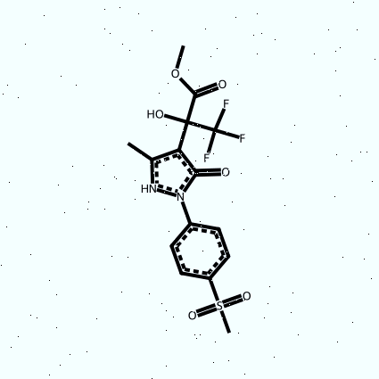 COC(=O)C(O)(c1c(C)[nH]n(-c2ccc(S(C)(=O)=O)cc2)c1=O)C(F)(F)F